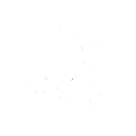 Cc1cc(CN(Cc2cn(OCCO)c3ccccc3c2=O)[C@H]2CCCN(c3cnccn3)C2)ccn1.Cl